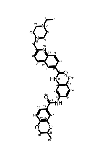 CCN1CCN(Cc2ccc3cc(C(=O)Nc4cc(NC(=O)c5ccc6c(c5)OC(C)CO6)ccc4F)ccc3n2)CC1